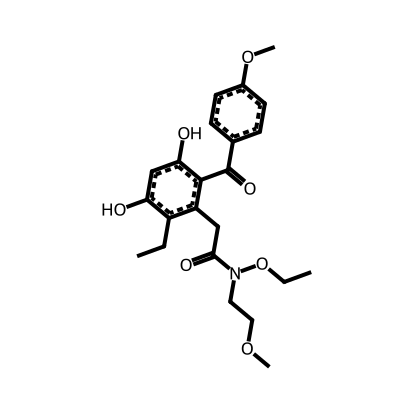 CCON(CCOC)C(=O)Cc1c(CC)c(O)cc(O)c1C(=O)c1ccc(OC)cc1